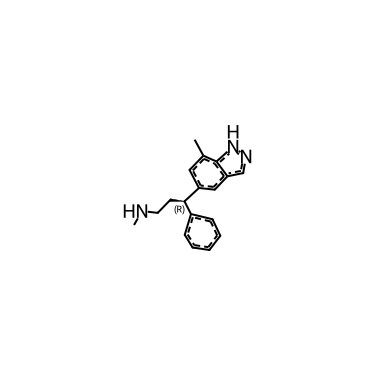 CNCC[C@H](c1ccccc1)c1cc(C)c2[nH]ncc2c1